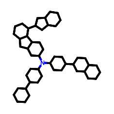 C1CCC(C2CCC(N(C3CCC(C4CCC5CCCCC5C4)CC3)C3CCC4C(CC5CCCC(C6CC7CCCCC7C6)C54)C3)CC2)CC1